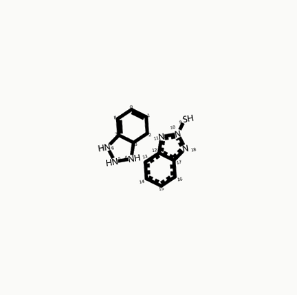 C1=CCC2NNNC2=C1.Sn1nc2ccccc2n1